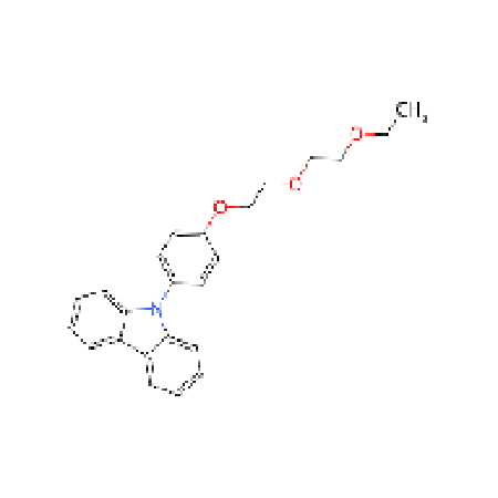 CCOCCOCCOc1ccc(-n2c3ccccc3c3ccccc32)cc1